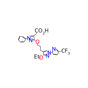 CCOc1nn(-c2ccc(C(F)(F)F)cn2)cc1CCCOc1nn(-c2ccccc2)cc1CC(=O)O